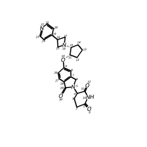 O=C1CCC(N2Cc3cc(O[C@H]4CCC[C@H]4N4CC(c5ccncc5)C4)ccc3C2=O)C(=O)N1